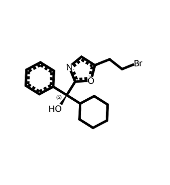 O[C@@](c1ccccc1)(c1ncc(CCBr)o1)C1CCCCC1